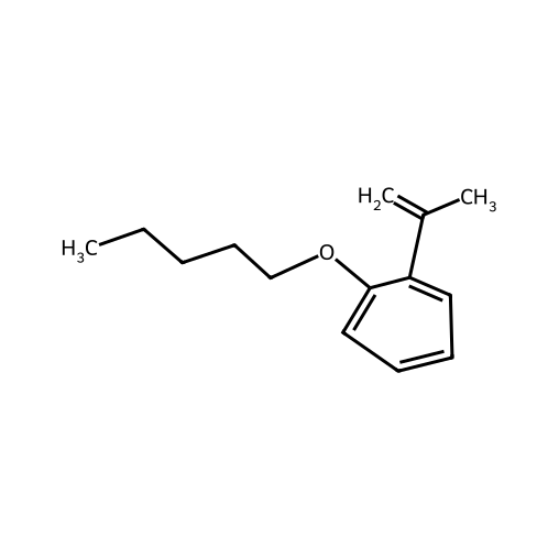 C=C(C)c1ccccc1OCCCCC